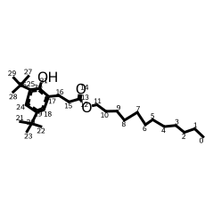 CCCCCCCCCCCCOC(=O)CCc1cc(C(C)(C)C)cc(C(C)(C)C)c1O